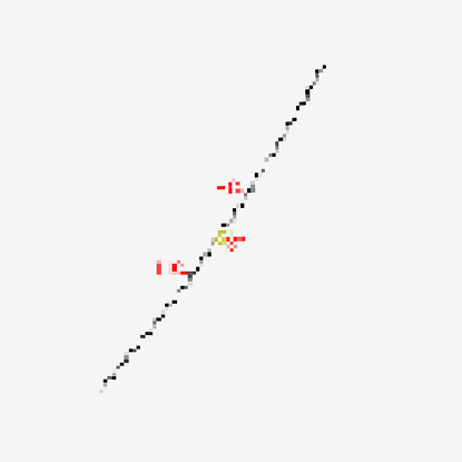 CCCCCCCCCCCCCCCC(O)CCCC[S+]([O-])CCCCC(O)CCCCCCCCCCCCCCC